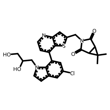 CC1(C)C2C(=O)N(Cc3cc4nccc(-c5cc(Cl)cc6ccn(CC(O)CO)c56)c4s3)C(=O)C21